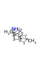 CC12CC3C4CC5(C)CC3C(C1)C(CN)(C5)C4C2